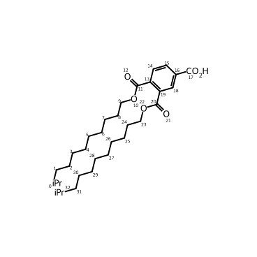 CC(C)CCCCCCCCCOC(=O)c1ccc(C(=O)O)cc1C(=O)OCCCCCCCCCC(C)C